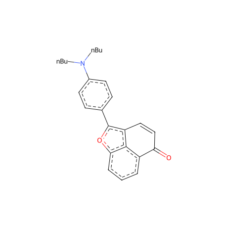 CCCCN(CCCC)c1ccc(-c2oc3cccc4c3c2C=CC4=O)cc1